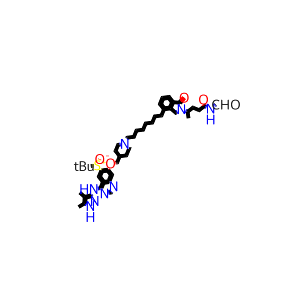 Cc1[nH]nc(Nc2ncnc3cc(OCC4CCN(CCCCCCCCc5cccc6c5CN(C(C)CCC(=O)NC=O)C6=O)CC4)c([S+]([O-])C(C)(C)C)cc23)c1C